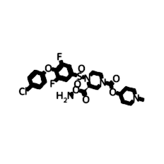 CN1CCC(OC(=O)N2CCN(S(=O)(=O)c3cc(F)c(Oc4ccc(Cl)cc4)c(F)c3)[C@@H](C(=O)ON)C2)CC1